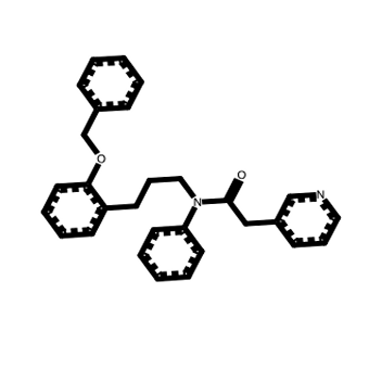 O=C(Cc1cccnc1)N(CCCc1ccccc1OCc1ccccc1)c1ccccc1